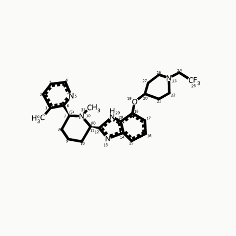 Cc1cccnc1[C@@H]1CCC[C@H](c2nc3cccc(OC4CCN(CC(F)(F)F)CC4)c3[nH]2)N1C